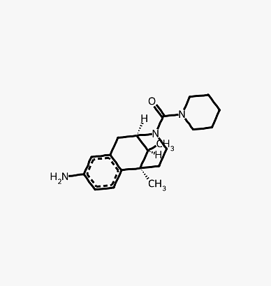 C[C@@H]1[C@H]2Cc3cc(N)ccc3[C@]1(C)CCN2C(=O)N1CCCCC1